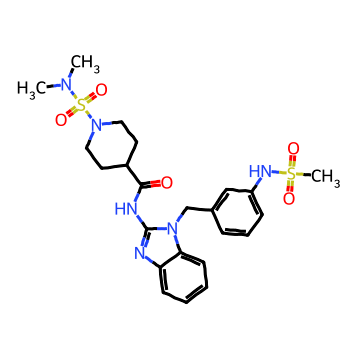 CN(C)S(=O)(=O)N1CCC(C(=O)Nc2nc3ccccc3n2Cc2cccc(NS(C)(=O)=O)c2)CC1